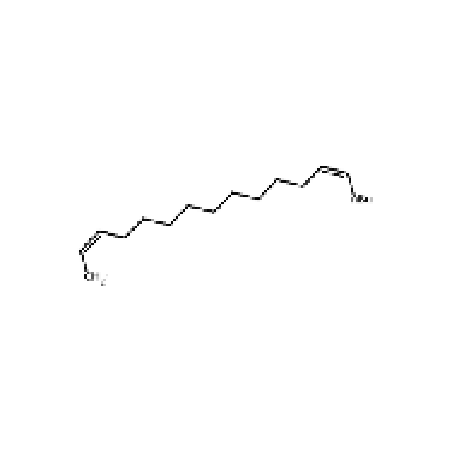 [CH2]/C=C\CCCCCCCCC/C=C\CCCC